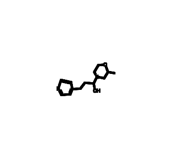 CC1CN(C(O)CCc2ccncc2)CCO1